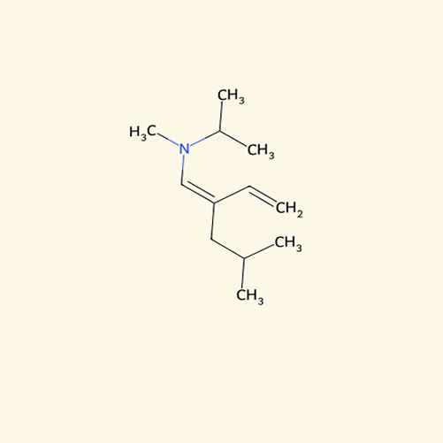 C=C/C(=C\N(C)C(C)C)CC(C)C